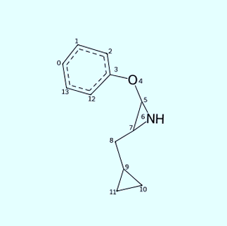 c1ccc(OC2NC2CC2CC2)cc1